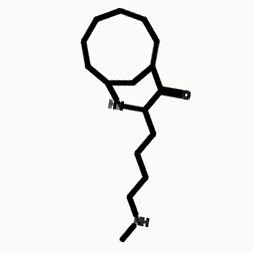 CNCCCCC1NC2CCCCCCC(C2)C1=O